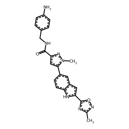 Cc1noc(-c2cc3cc(-c4cc(C(=O)NCc5ccc(N)cc5)nn4C)ccc3[nH]2)n1